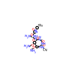 C[C@@H]1NC(=O)[C@@H](N(C)C(=O)[C@H](CCN)NC(=O)c2cnn(-c3ccc(C(C)(C)C)cc3)c(=O)c2)c2ccc(OCCN)c(c2)-c2cc(ccc2OCCN)C[C@@H](C(=O)NCC#N)NC1=O